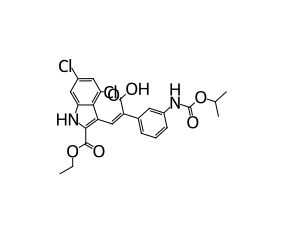 CCOC(=O)c1[nH]c2cc(Cl)cc(Cl)c2c1C=C(C(=O)O)c1cccc(NC(=O)OC(C)C)c1